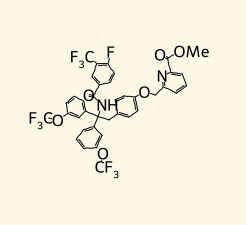 COC(=O)c1cccc(COc2ccc(CC(NC(=O)c3ccc(F)c(C(F)(F)F)c3)(c3cccc(OC(F)(F)F)c3)c3cccc(OC(F)(F)F)c3)cc2)n1